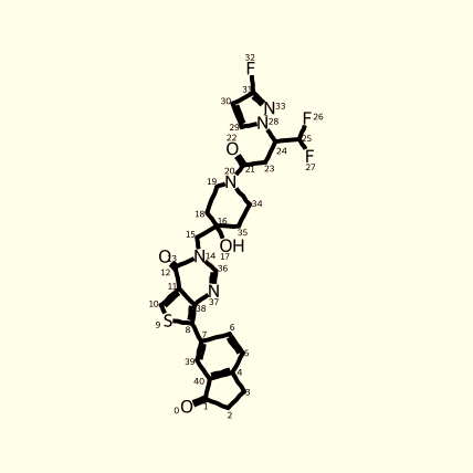 O=C1CCc2ccc(-c3scc4c(=O)n(CC5(O)CCN(C(=O)CC(C(F)F)n6ccc(F)n6)CC5)cnc34)cc21